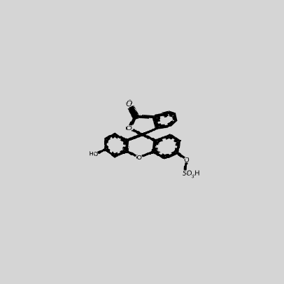 O=C1OC2(c3ccc(O)cc3Oc3cc(OS(=O)(=O)O)ccc32)c2ccccc21